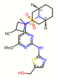 COc1cc(N(C)[C@@H]2C[C@H]3CCC[C@@H](C2)N3S(=O)(=O)N2CC(C#N)C2)nc(Nc2ncc(CO)s2)n1